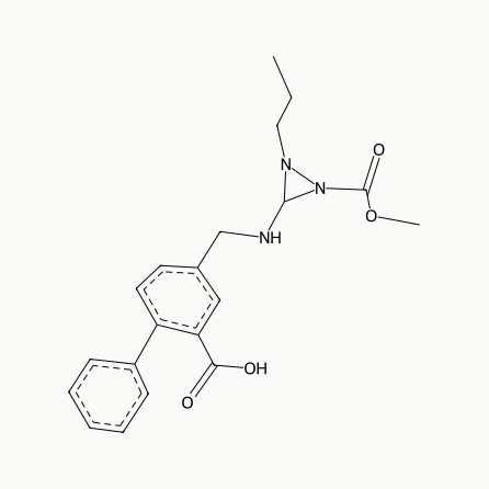 CCCN1C(NCc2ccc(-c3ccccc3)c(C(=O)O)c2)N1C(=O)OC